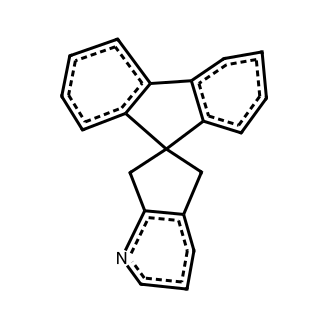 c1cnc2c(c1)CC1(C2)c2ccccc2-c2ccccc21